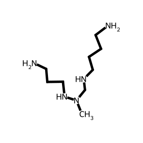 CN(CNCCCCN)NCCCN